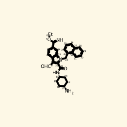 CCOC(=N)c1ccc2c(C=O)c(C(=O)N[C@H]3CC[C@H](N)CC3)n(Cc3cccc4ccccc34)c2c1